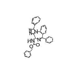 O=C(NC1N=C(c2ccccc2)c2ccccc2-n2c(-c3ccccc3)nnc21)OCc1ccccc1